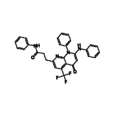 O=C(CCc1cc(C(F)(F)F)c2c(=O)cc(Nc3ccccc3)n(-c3ccccc3)c2n1)Nc1ccccc1